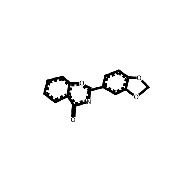 O=c1nc(-c2ccc3c(c2)OCO3)oc2ccccc12